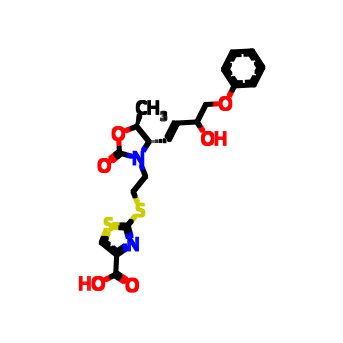 C[C@@H]1OC(=O)N(CCSc2nc(C(=O)O)cs2)[C@H]1/C=C/C(O)COc1ccccc1